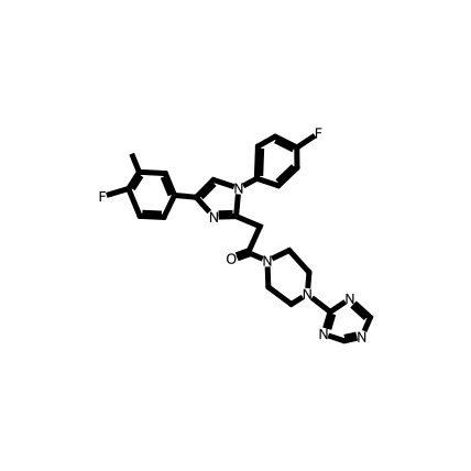 Cc1cc(-c2cn(-c3ccc(F)cc3)c(CC(=O)N3CCN(c4ncncn4)CC3)n2)ccc1F